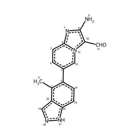 Cc1c(-c2ccc3nc(N)c(C=O)n3c2)ccc2[nH]ncc12